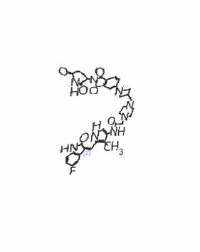 Cc1c(NC(=O)CN2CCN(CC3CN(c4ccc5c(c4)C(=O)N(C4CCC(=O)NC4=O)C5=O)C3)CC2)c[nH]c1/C=C1\C(=O)Nc2ccc(F)cc21